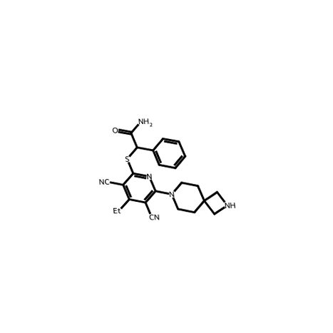 CCc1c(C#N)c(SC(C(N)=O)c2ccccc2)nc(N2CCC3(CC2)CNC3)c1C#N